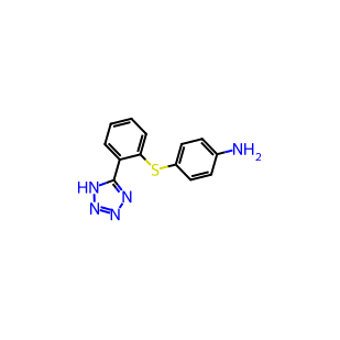 Nc1ccc(Sc2ccccc2-c2nnn[nH]2)cc1